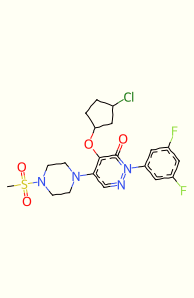 CS(=O)(=O)N1CCN(c2cnn(-c3cc(F)cc(F)c3)c(=O)c2OC2CCC(Cl)C2)CC1